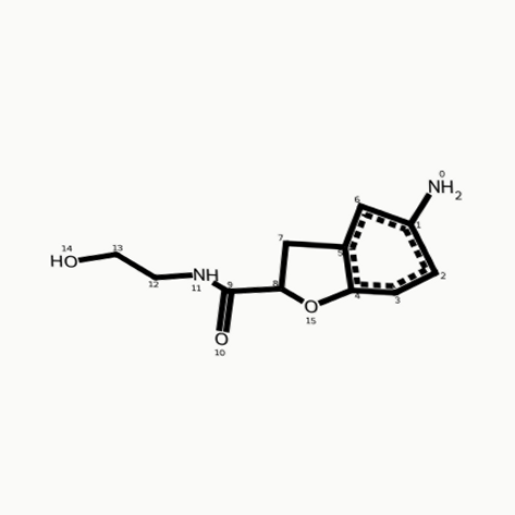 Nc1ccc2c(c1)CC(C(=O)NCCO)O2